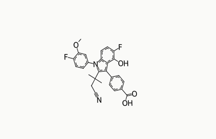 COc1cc(-n2c(C(C)(C)CC#N)c(-c3ccc(C(=O)O)cc3)c3c(O)c(F)ccc32)ccc1F